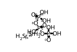 O=P(O)(O)OP(=O)(O)OP(=O)(O)O.[SrH2].[SrH2]